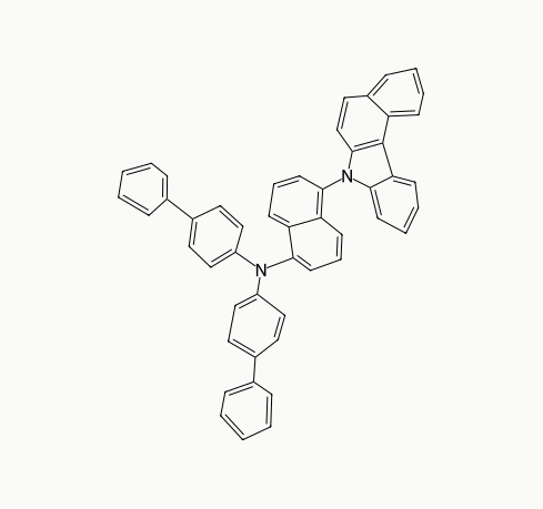 c1ccc(-c2ccc(N(c3ccc(-c4ccccc4)cc3)c3cccc4c(-n5c6ccccc6c6c7ccccc7ccc65)cccc34)cc2)cc1